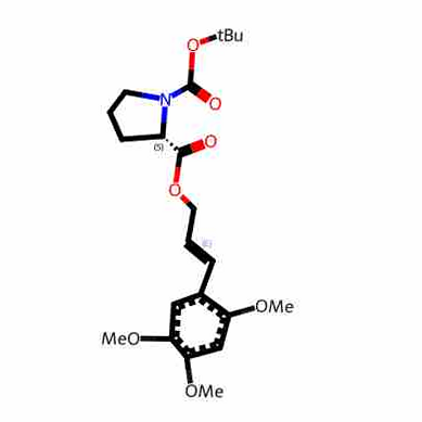 COc1cc(OC)c(OC)cc1/C=C/COC(=O)[C@@H]1CCCN1C(=O)OC(C)(C)C